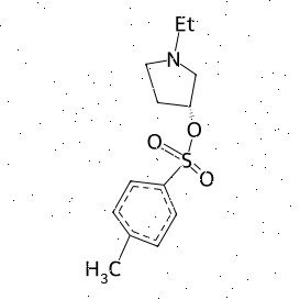 CCN1CC[C@@H](OS(=O)(=O)c2ccc(C)cc2)C1